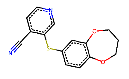 N#Cc1ccncc1Sc1ccc2c(c1)OCCCO2